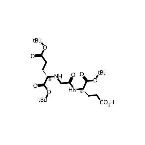 CC(C)(C)OC(=O)CC[C@H](NCC(=O)N[C@@H](CCC(=O)O)C(=O)OC(C)(C)C)C(=O)OC(C)(C)C